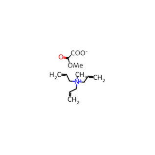 C=CC[N+](C)(CC=C)CC=C.COC(=O)C(=O)[O-]